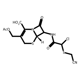 CC(=O)OCC1=C(C(=O)O)N2C(=O)C(NC(=O)C(Cl)SCC#N)[C@@H]2SC1